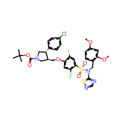 COc1ccc(CN(c2ncns2)S(=O)(=O)c2cc(F)c(OC[C@H]3CN(C(=O)OC(C)(C)C)C[C@@H]3c3ccc(Cl)cc3)cc2F)c(OC)c1